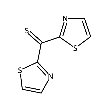 S=C(c1nccs1)c1nccs1